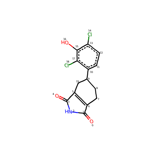 O=C1NC(=O)C2=C1CCC(c1ccc(Cl)c(O)c1Cl)C2